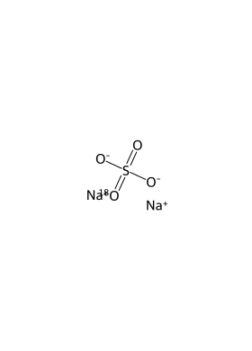 O=S([O-])([O-])=[18O].[Na+].[Na+]